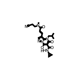 CC(C)Cn1c(=O)c(C(=O)NC2CC2)c(O)n2ncc(/C=C/C(=O)N(C)CCC#N)c12